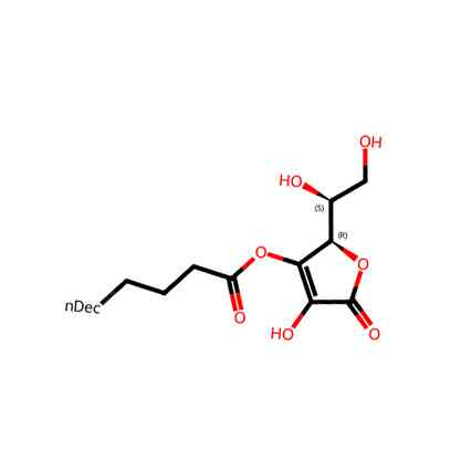 CCCCCCCCCCCCCC(=O)OC1=C(O)C(=O)O[C@@H]1[C@@H](O)CO